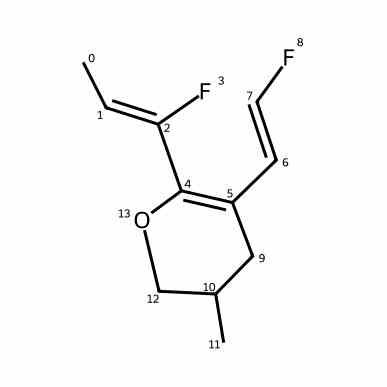 C/C=C(\F)C1=C(/C=C/F)CC(C)CO1